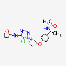 CC(=O)N[C@@H](C)c1ccc(O[C@@H]2CCN(c3ncnc(NCC4CCCO4)c3Cl)C2)cc1